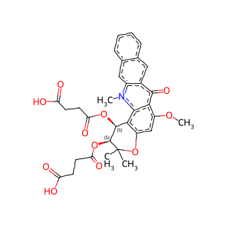 COc1cc2c(c3c1c(=O)c1cc4ccccc4cc1n3C)[C@H](OC(=O)CCC(=O)O)[C@H](OC(=O)CCC(=O)O)C(C)(C)O2